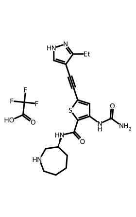 CCc1n[nH]cc1C#Cc1cc(NC(N)=O)c(C(=O)N[C@H]2CCCCNC2)s1.O=C(O)C(F)(F)F